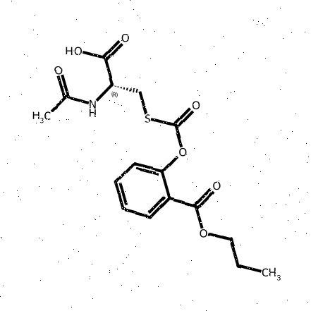 CCCOC(=O)c1ccccc1OC(=O)SC[C@H](NC(C)=O)C(=O)O